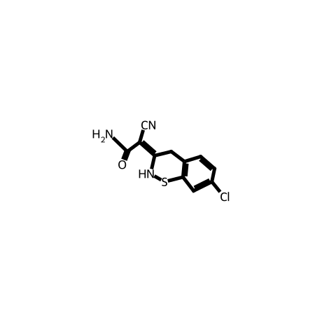 N#CC(C(N)=O)=C1Cc2ccc(Cl)cc2SN1